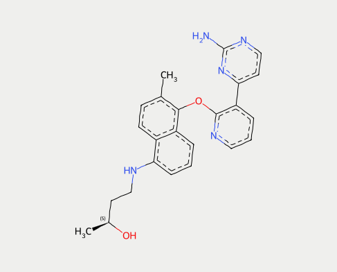 Cc1ccc2c(NCC[C@H](C)O)cccc2c1Oc1ncccc1-c1ccnc(N)n1